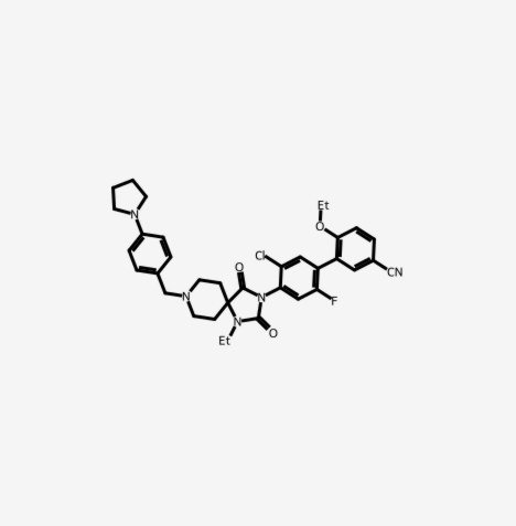 CCOc1ccc(C#N)cc1-c1cc(Cl)c(N2C(=O)N(CC)C3(CCN(Cc4ccc(N5CCCC5)cc4)CC3)C2=O)cc1F